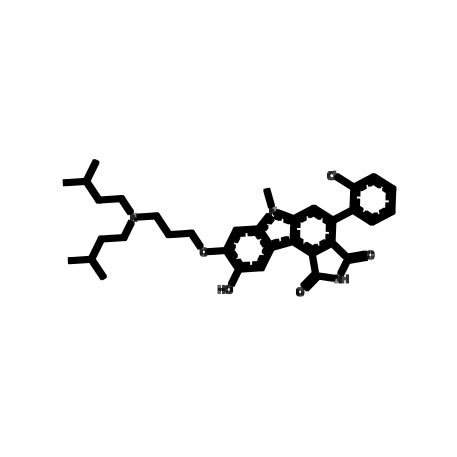 CC(C)CCN(CCCOc1cc2c(cc1O)c1c3c(c(-c4ccccc4Cl)cc1n2C)C(=O)NC3=O)CCC(C)C